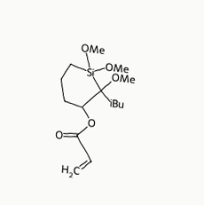 C=CC(=O)OC1CCC[Si](OC)(OC)C1(OC)C(C)CC